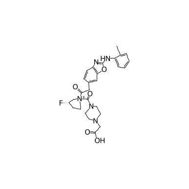 Cc1ccccc1Nc1nc2ccc(CC(=O)[N+]3(C(=O)N4CCN(CC(=O)O)CC4)CC[C@H](F)C3)cc2o1